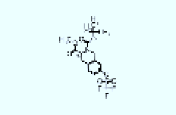 COC(=O)[C@@H]1Cc2ccc(OS(=O)(=O)C(F)(F)F)cc2CN1C(=O)OC(C)(C)C